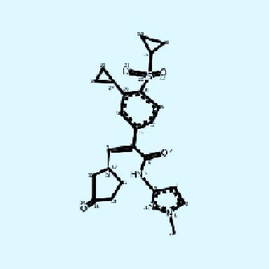 Cn1ccc(NC(=O)C(=C[C@H]2CCC(=O)C2)c2ccc(S(=O)(=O)C3CC3)c(C3CC3)c2)n1